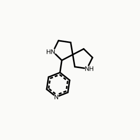 c1cc(C2NCCC23CCNC3)ccn1